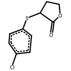 O=C1OCCC1Sc1ccc(Cl)cc1